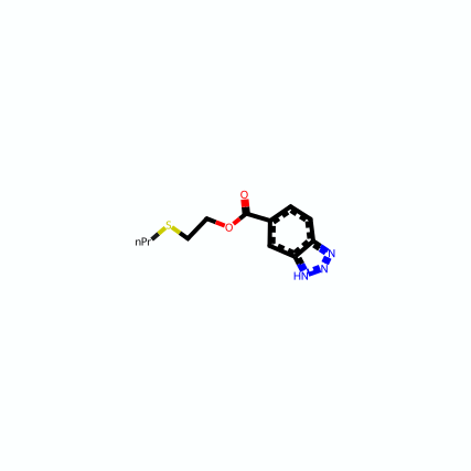 CCCSCCOC(=O)c1ccc2nn[nH]c2c1